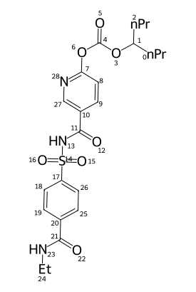 CCCC(CCC)OC(=O)Oc1ccc(C(=O)NS(=O)(=O)c2ccc(C(=O)NCC)cc2)cn1